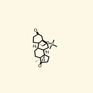 C[C@]12CC[C@@H]3[C@@H](CC=C4CC(=O)CC[C@@]43CO[Si](C)(C)C)[C@@H]1CCC2=O